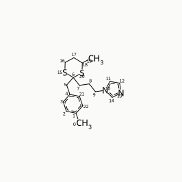 Cc1ccc(CC2(CCCn3ccnc3)SCCC(C)S2)cc1